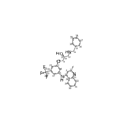 Cc1cc(Nc2cc(OC[C@@H](O)CNCc3ccccc3)cc(C(F)(F)F)c2)c2ccccc2n1